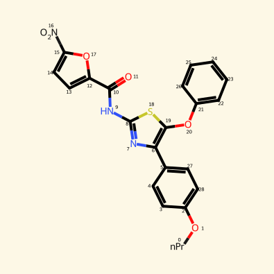 CCCOc1ccc(-c2nc(NC(=O)c3ccc([N+](=O)[O-])o3)sc2Oc2ccccc2)cc1